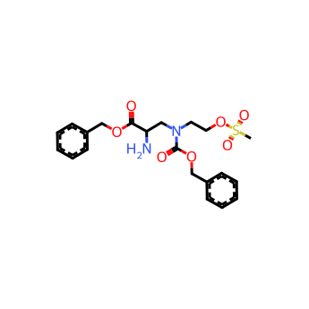 CS(=O)(=O)OCCN(CC(N)C(=O)OCc1ccccc1)C(=O)OCc1ccccc1